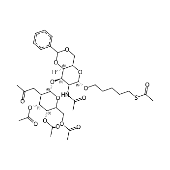 CC(=O)CC1[C@H](O[C@@H]2C(NC(C)=O)[C@@H](OCCCCCSC(C)=O)OC3COC(c4ccccc4)O[C@@H]32)OC(COC(C)=O)[C@H](OC(C)=O)[C@@H]1OC(C)=O